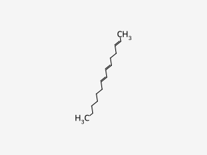 CC=CCCC=CC=CCCCCCC